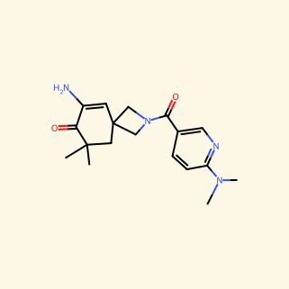 CN(C)c1ccc(C(=O)N2CC3(C=C(N)C(=O)C(C)(C)C3)C2)cn1